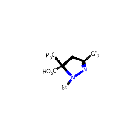 CCN1N=C(C(F)(F)F)C[C@]1(C)C(=O)O